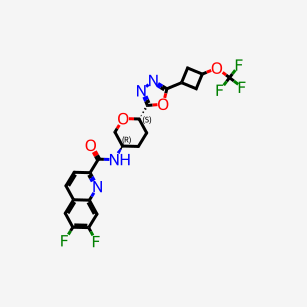 O=C(N[C@@H]1CC[C@@H](c2nnc(C3CC(OC(F)(F)F)C3)o2)OC1)c1ccc2cc(F)c(F)cc2n1